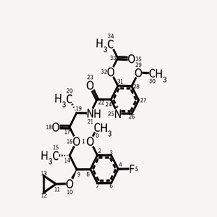 COc1cc(F)ccc1[C@@H](OC1CC1)[C@H](C)OC(=O)[C@H](C)NC(=O)c1nccc(OC)c1OC(C)=O